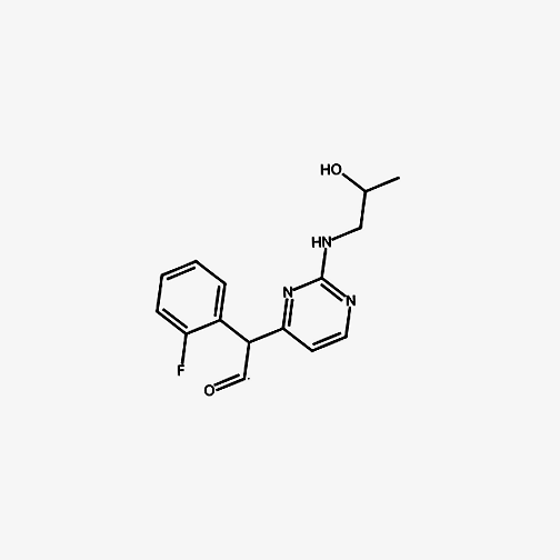 CC(O)CNc1nccc(C([C]=O)c2ccccc2F)n1